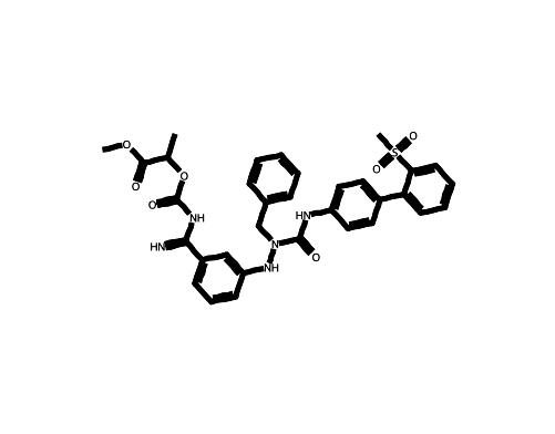 COC(=O)C(C)OC(=O)NC(=N)c1cccc(NN(Cc2ccccc2)C(=O)Nc2ccc(-c3ccccc3S(C)(=O)=O)cc2)c1